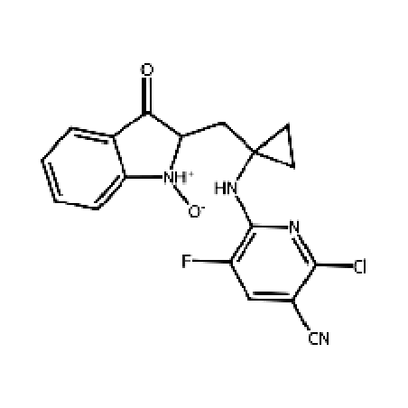 N#Cc1cc(F)c(NC2(CC3C(=O)c4ccccc4[NH+]3[O-])CC2)nc1Cl